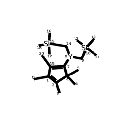 CC1=C(C)C(C)(C)[C]([Y]([CH2][Si](C)(C)C)[CH2][Si](C)(C)C)=C1C